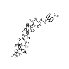 CCOC(=O)CCc1ccc(-c2cn(CCC3CCN(C(=O)OC(C)(C)C)CC3)c(C)n2)cc1